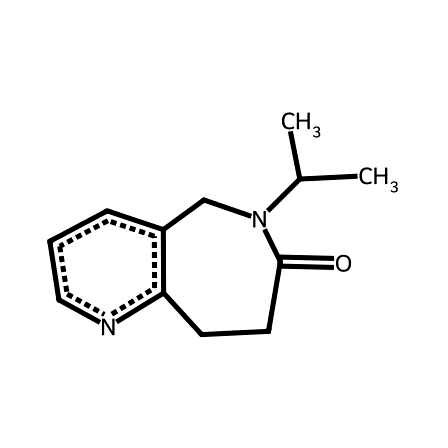 CC(C)N1Cc2cccnc2CCC1=O